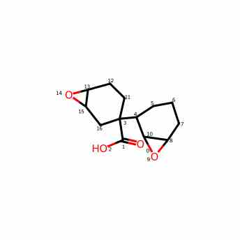 O=C(O)C1(C2CCCC3OC32)CCC2OC2C1